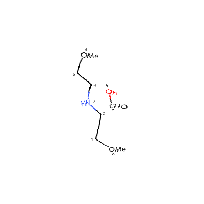 COCCNCCOC.O=CO